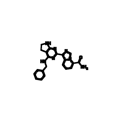 NC(=O)c1cccc2c(-c3nc4c(c(NCc5ccccc5)n3)CCN4)ncn12